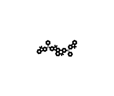 CC1(C)c2ccccc2-c2ccc(N(c3ccccc3)c3ccc4c(c3)C(C)(C)c3cc5c6c(cccc6c3-4)C(C)(C)c3cc(N(c4ccccc4)c4ccc6c(c4)C(C)(C)c4ccccc4-6)ccc3-5)cc21